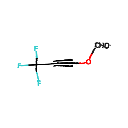 O=[C]OC#CC(F)(F)F